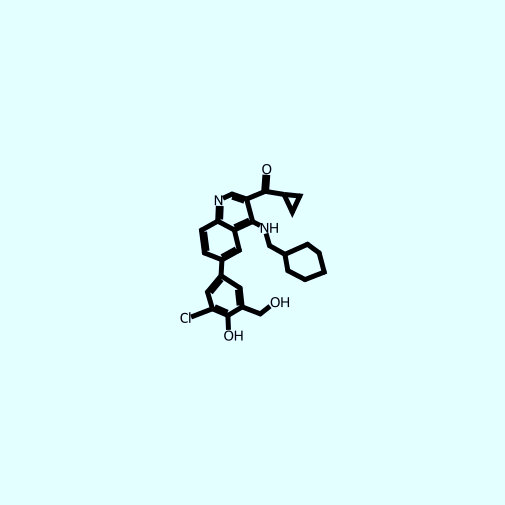 O=C(c1cnc2ccc(-c3cc(Cl)c(O)c(CO)c3)cc2c1NCC1CCCCC1)C1CC1